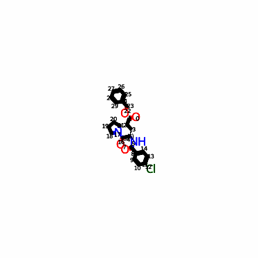 O=C(CC[C@H](NC(=O)c1ccc(Cl)cc1)C(=O)N1CCCC1)OCc1ccccc1